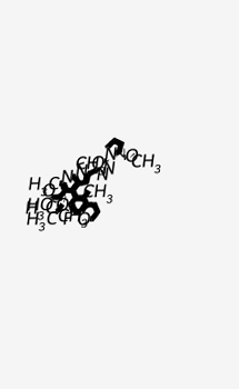 COC[C@H]1CCCN1c1nnc(-c2cc3c(-c4cc(F)c5c(c4C)CCCO5)c([C@H](OC(C)(C)C)C(=O)O)c(C)nc3n2C)o1